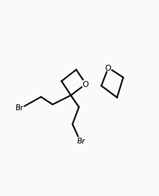 BrCCC1(CCBr)CCO1.C1COC1